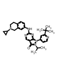 CC(C)n1c(=O)c2cnc(Nc3ccc4c(c3)CN(C3CC3)CC4)nc2n1-c1ccnc(C(C)(C)C)c1